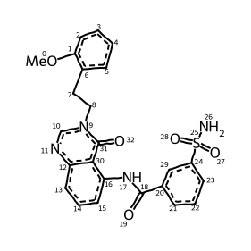 COc1ccccc1CCn1cnc2cccc(NC(=O)c3cccc(S(N)(=O)=O)c3)c2c1=O